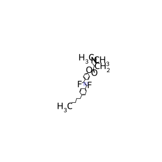 C=C(CN(C)C)C(=O)Oc1ccc(/C(F)=C(\F)c2ccc(CCCCC)cc2)cc1